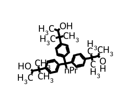 CCCC(c1ccc(C(C)(C)C(C)O)cc1)(c1ccc(C(C)(C)C(C)O)cc1)c1ccc(C(C)(C)C(C)O)cc1